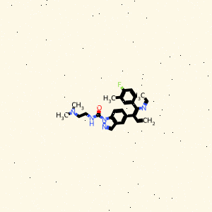 C=C/C(=C(\N=C/C)c1ccc(F)c(C)c1)c1ccc2c(cnn2C(=O)NCCN(C)C)c1